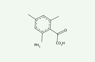 Cc1cc(C)c(C(=O)C(=O)O)c(C)c1.P